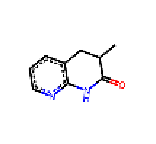 CC1Cc2cccnc2NC1=O